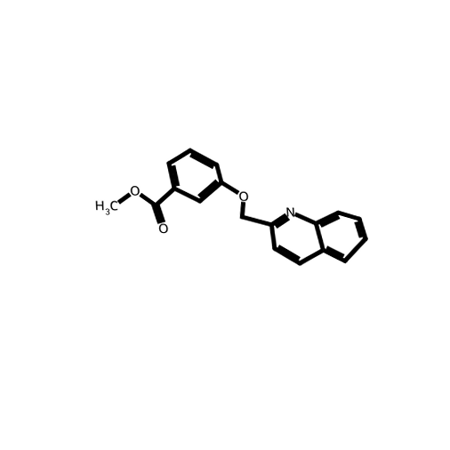 COC(=O)c1cccc(OCc2ccc3ccccc3n2)c1